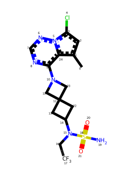 Cc1cc(Cl)n2ncnc(N3CC4(CC(N(CC(F)(F)F)S(N)(=O)=O)C4)C3)c12